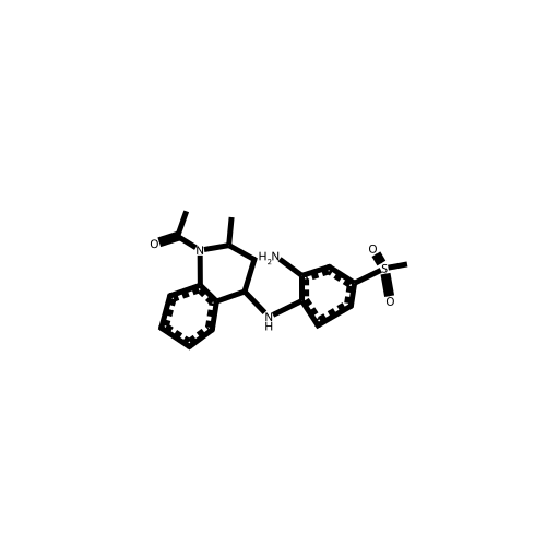 CC(=O)N1c2ccccc2C(Nc2ccc(S(C)(=O)=O)cc2N)CC1C